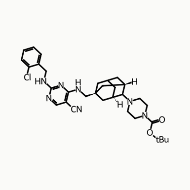 CC(C)(C)OC(=O)N1CCN(C2[C@@H]3CC4C[C@H]2C[C@@](CNc2nc(NCc5ccccc5Cl)ncc2C#N)(C4)C3)CC1